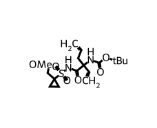 C=CCC(C=C)(NC(=O)OC(C)(C)C)C(=O)NS(=O)(=O)C1(COC)CC1